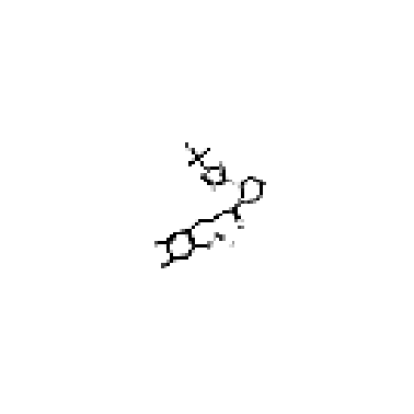 CC(C)(F)n1cnc([C@@H]2CCCN2C(=O)C[C@H](N)Cc2cc(F)c(F)cc2F)n1